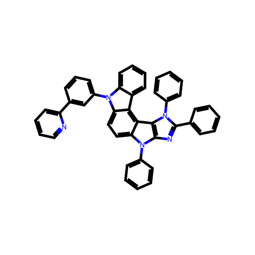 c1ccc(-c2nc3c(c4c5c6ccccc6n(-c6cccc(-c7ccccn7)c6)c5ccc4n3-c3ccccc3)n2-c2ccccc2)cc1